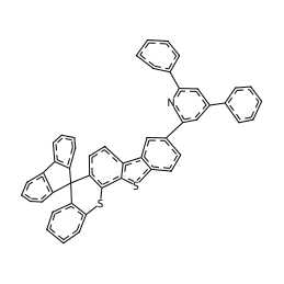 c1ccc(-c2cc(-c3ccccc3)nc(-c3ccc4sc5c6c(ccc5c4c3)C3(c4ccccc4S6)c4ccccc4-c4ccccc43)c2)cc1